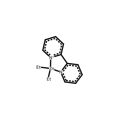 C[CH2][Zn]1([CH2]C)[n+]2ccccc2-c2cccc[n+]21